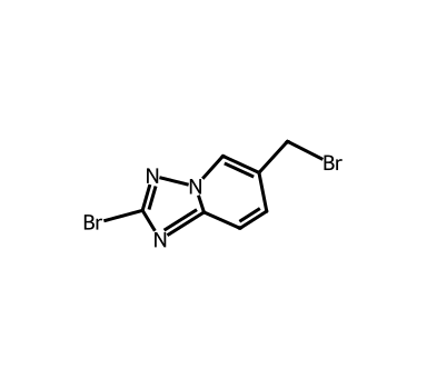 BrCc1ccc2nc(Br)nn2c1